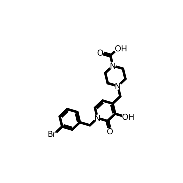 O=C(O)N1CCN(Cc2ccn(Cc3cccc(Br)c3)c(=O)c2O)CC1